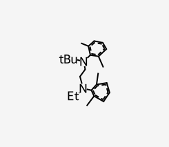 CCN(CCN(c1c(C)cccc1C)C(C)(C)C)c1c(C)cccc1C